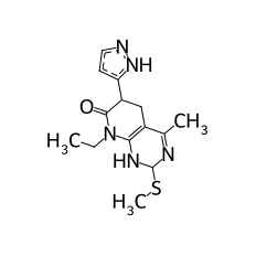 CCN1C(=O)C(c2ccn[nH]2)CC2=C1NC(SC)N=C2C